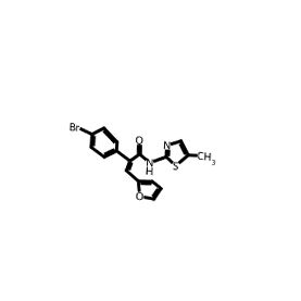 Cc1cnc(NC(=O)C(=Cc2ccco2)c2ccc(Br)cc2)s1